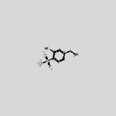 CCCCc1cc(CC(C)C)ccc1S(N)(=O)=O